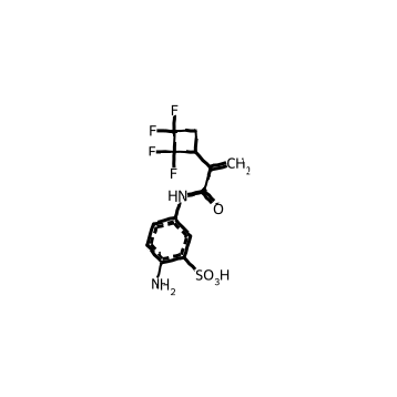 C=C(C(=O)Nc1ccc(N)c(S(=O)(=O)O)c1)C1CC(F)(F)C1(F)F